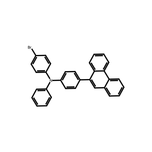 Brc1ccc(N(c2ccccc2)c2ccc(-c3cc4ccccc4c4ccccc34)cc2)cc1